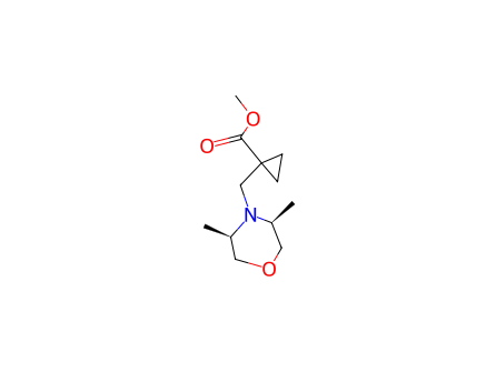 COC(=O)C1(CN2[C@H](C)COC[C@@H]2C)CC1